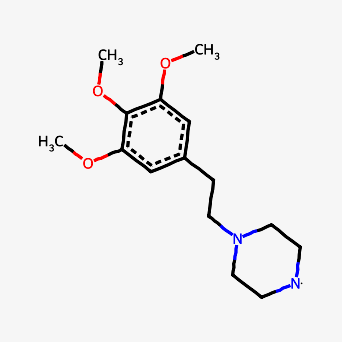 COc1cc(CCN2CC[N]CC2)cc(OC)c1OC